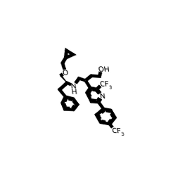 OCCC(CN[C@H](COCC1CC1)Cc1ccccc1)c1ccc(-c2ccc(C(F)(F)F)cc2)nc1C(F)(F)F